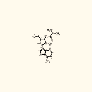 CC(N)C(=O)NC1C(CO)OC(n2cnc3c(N)ncnc32)C1O